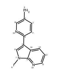 Pc1ccc(-c2cn(I)c3ncccc23)nc1